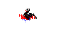 CCOc1cccc(-c2ccc(O)c3c2CC2CC4C(N(C)C)C(O)=C(C(N)=O)C(=O)C4(O)C(O)=C2C3=O)c1